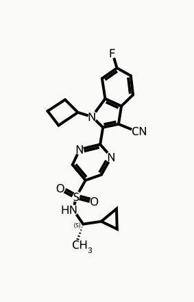 C[C@H](NS(=O)(=O)c1cnc(-c2c(C#N)c3ccc(F)cc3n2C2CCC2)nc1)C1CC1